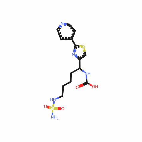 NS(=O)(=O)NCCCCC(NC(=O)O)c1csc(-c2ccncc2)n1